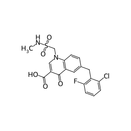 CNS(=O)(=O)Cn1cc(C(=O)O)c(=O)c2cc(Cc3c(F)cccc3Cl)ccc21